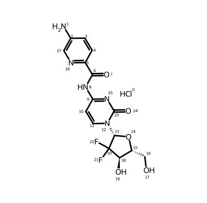 Cl.Nc1ccc(C(=O)Nc2ccn([C@@H]3O[C@H](CO)[C@@H](O)C3(F)F)c(=O)n2)nc1